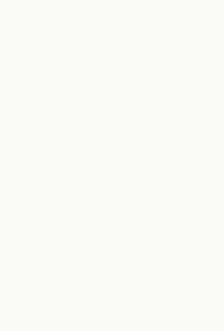 CCCCCC(=O)OCCCCOC(=O)CC